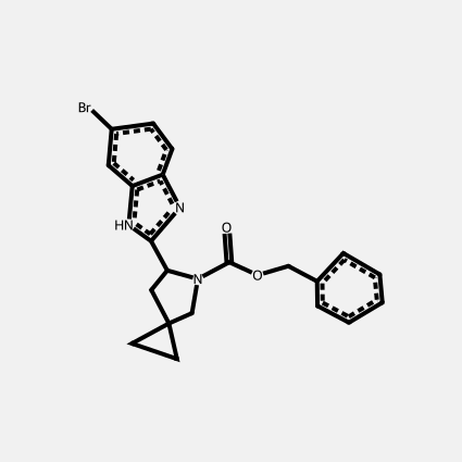 O=C(OCc1ccccc1)N1CC2(CC2)CC1c1nc2ccc(Br)cc2[nH]1